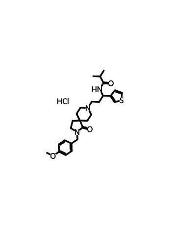 COc1ccc(CN2CCC3(CCN(CCC(NC(=O)C(C)C)c4ccsc4)CC3)C2=O)cc1.Cl